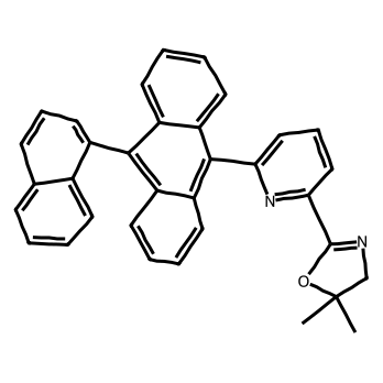 CC1(C)CN=C(c2cccc(-c3c4ccccc4c(-c4cccc5ccccc45)c4ccccc34)n2)O1